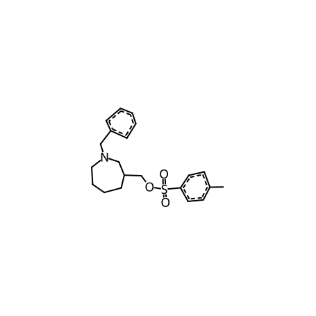 Cc1ccc(S(=O)(=O)OCC2CCCCN(Cc3ccccc3)C2)cc1